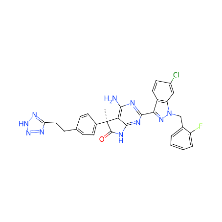 C[C@@]1(c2ccc(CCc3nn[nH]n3)cc2)C(=O)Nc2nc(-c3nn(Cc4ccccc4F)c4cc(Cl)ccc34)nc(N)c21